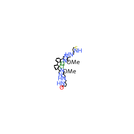 COc1nc(-c2cccc(-c3cccc(-c4cnc(CNCC5CCC(=O)N5)c(OC)n4)c3Cl)c2Cl)cnc1CNCC1CCSN1